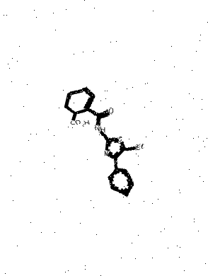 CCc1sc(NC(=O)C2=CCCCC2C(=O)O)nc1-c1ccccc1